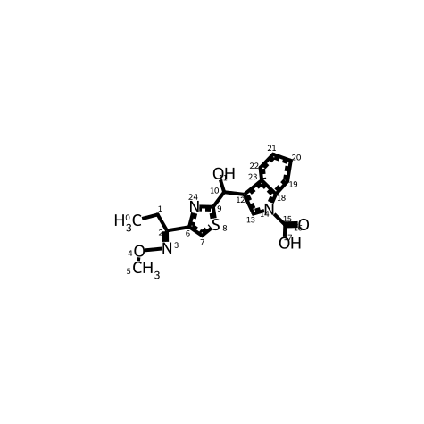 CC/C(=N\OC)c1csc(C(O)c2cn(C(=O)O)c3ccccc23)n1